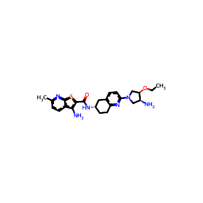 CCO[C@@H]1CN(c2ccc3c(n2)CC[C@H](NC(=O)c2sc4nc(C)ccc4c2N)C3)C[C@@H]1N